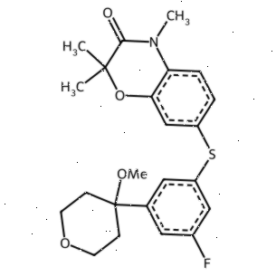 COC1(c2cc(F)cc(Sc3ccc4c(c3)OC(C)(C)C(=O)N4C)c2)CCOCC1